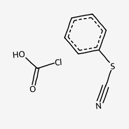 N#CSc1ccccc1.O=C(O)Cl